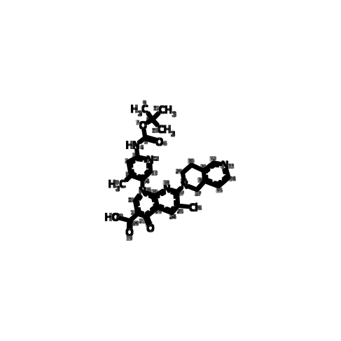 Cc1cc(NC(=O)OC(C)(C)C)ncc1-n1cc(C(=O)O)c(=O)c2cc(Cl)c(N3CCc4cnccc4C3)nc21